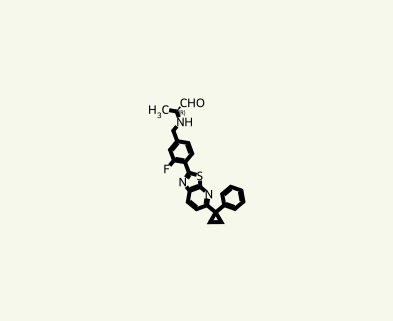 C[C@H](C=O)NCc1ccc(-c2nc3ccc(C4(c5ccccc5)CC4)nc3s2)c(F)c1